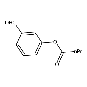 [CH2]CCC(=O)Oc1cccc(C=O)c1